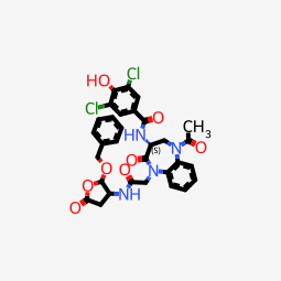 CC(=O)N1C[C@H](NC(=O)c2cc(Cl)c(O)c(Cl)c2)C(=O)N(CC(=O)NC2CC(=O)OC2OCc2ccccc2)c2ccccc21